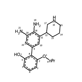 CCCOc1cccc(O)c1-c1cc(C2CCCNC2)c(N)c(N)n1